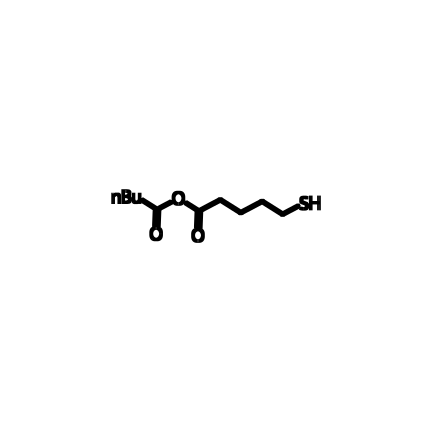 CCCCC(=O)OC(=O)CCCCS